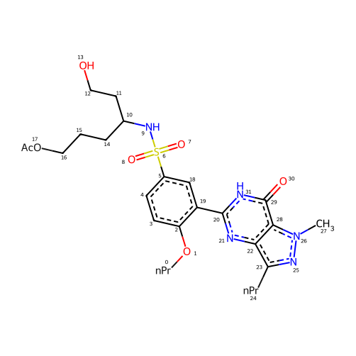 CCCOc1ccc(S(=O)(=O)NC(CCO)CCCOC(C)=O)cc1-c1nc2c(CCC)nn(C)c2c(=O)[nH]1